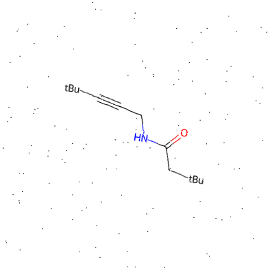 CC(C)(C)C#CCNC(=O)CC(C)(C)C